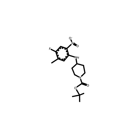 Cc1cc(NC2CCN(C(=O)OC(C)(C)C)CC2)c([N+](=O)[O-])cc1F